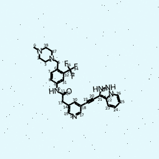 CN1CCN(Cc2ccc(NC(=O)Cc3cncc(C#CC4=C5C=CC=CN5NN4)c3)cc2C(F)(F)F)CC1